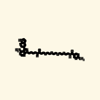 Cc1ncc(C(=O)NCCOCCOCCOCCOCCC(=O)NCCCCn2nc(-c3cnc4[nH]ccc4c3)c3c(N)ncnc32)cn1